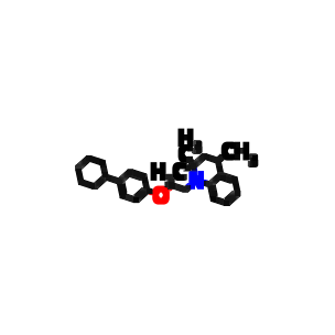 CC1CC(C)(C)N(CCOc2ccc(C3CCCCC3)cc2)c2ccccc21